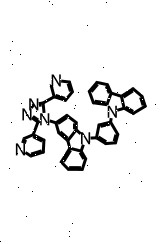 c1cncc(-c2nnc(-c3cccnc3)n2-c2ccc3c(c2)c2ccccc2n3-c2cccc(-n3c4ccccc4c4ccccc43)c2)c1